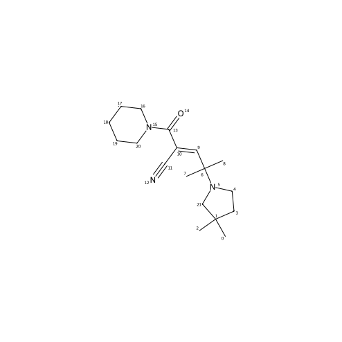 CC1(C)CCN(C(C)(C)C=C(C#N)C(=O)N2C[CH]CCC2)C1